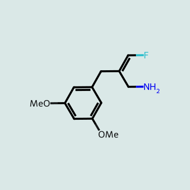 COc1cc(CC(=CF)CN)cc(OC)c1